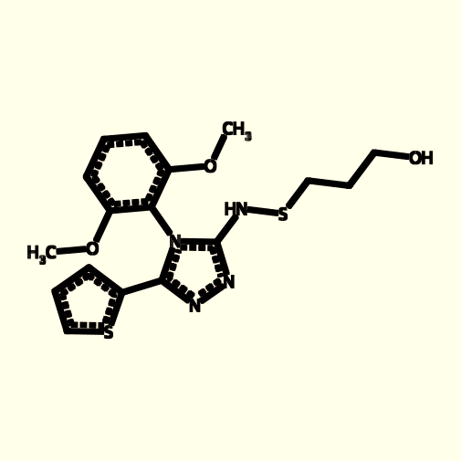 COc1cccc(OC)c1-n1c(NSCCCO)nnc1-c1cccs1